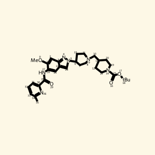 COc1cc2nn(C3CCN(CC4CCN(C(=O)OC(C)(C)C)CC4)CC3)cc2cc1NC(=O)c1cccc(C)n1